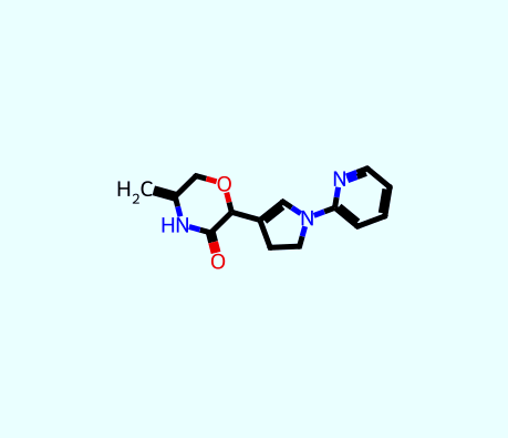 C=C1COC(C2=CN(c3ccccn3)CC2)C(=O)N1